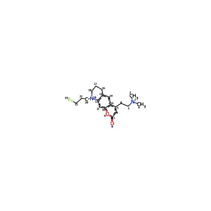 CN(C)CCc1cc(=O)oc2cc3c(cc12)CCCN3CCCF